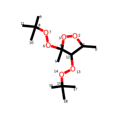 CC1OOC(C)(OOC(C)(C)C)C1OOC(C)(C)C